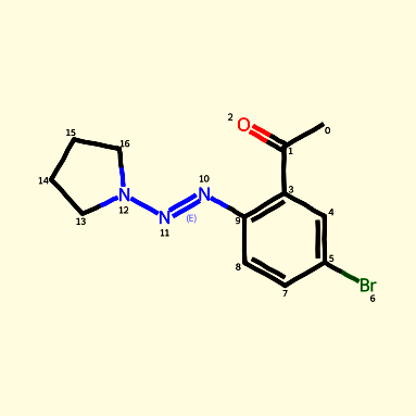 CC(=O)c1cc(Br)ccc1/N=N/N1CCCC1